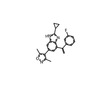 C=C(c1cccc(F)c1)c1cc(-c2c(C)noc2C)cc2[nH]c(C3CC3)nc12